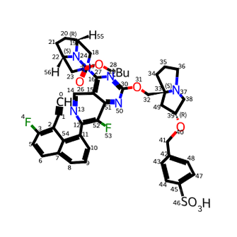 C#Cc1c(F)ccc2cccc(-c3ncc4c(N5C[C@H]6CC[C@@H](C5)N6C(=O)OC(C)(C)C)nc(OC[C@@]56CCCN5C[C@H](OCc5ccc(S(=O)(=O)O)cc5)C6)nc4c3F)c12